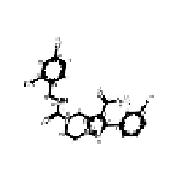 NC(=O)c1c(-c2cccc(F)c2)nn2c1CN(C(=O)NCc1ccc(Cl)cc1Cl)CC2